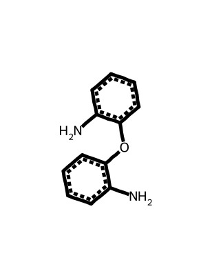 Nc1ccccc1Oc1ccccc1N